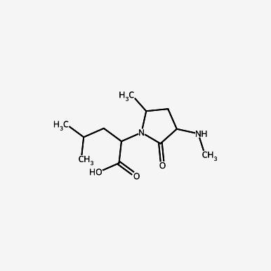 CNC1CC(C)N(C(CC(C)C)C(=O)O)C1=O